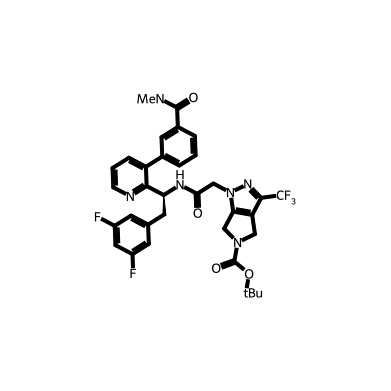 CNC(=O)c1cccc(-c2cccnc2[C@H](Cc2cc(F)cc(F)c2)NC(=O)Cn2nc(C(F)(F)F)c3c2CN(C(=O)OC(C)(C)C)C3)c1